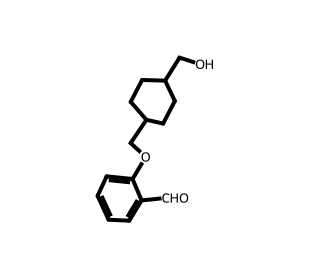 O=Cc1ccccc1OCC1CCC(CO)CC1